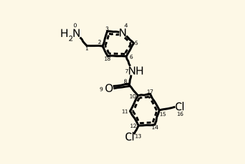 NCc1cncc(NC(=O)c2cc(Cl)cc(Cl)c2)c1